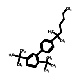 CCCCCC(C)(C)c1ccc(-c2cc(C(C)(C)C)c[c]c2C(C)(C)C)cc1